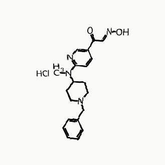 CN(c1ccc(C(=O)C=NO)cn1)C1CCN(Cc2ccccc2)CC1.Cl